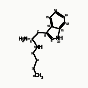 CCCCN[C@H](N)Cc1c[nH]c2ccccc12